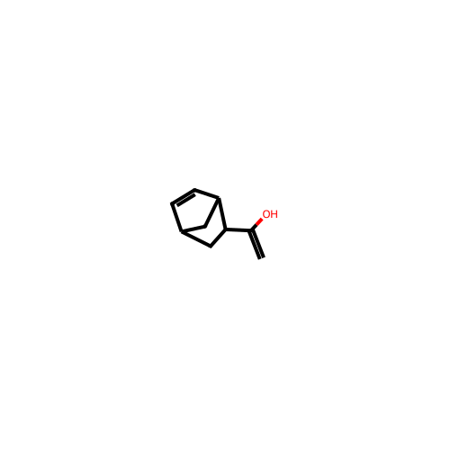 C=C(O)C1CC2C=CC1C2